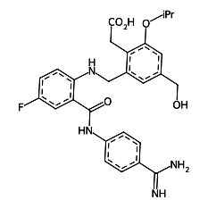 CC(C)Oc1cc(CO)cc(CNc2ccc(F)cc2C(=O)Nc2ccc(C(=N)N)cc2)c1CC(=O)O